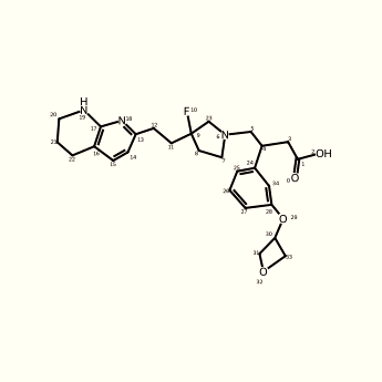 O=C(O)CC(CN1CCC(F)(CCc2ccc3c(n2)NCCC3)C1)c1cccc(OC2COC2)c1